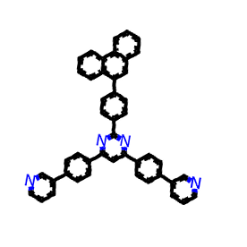 c1cncc(-c2ccc(-c3cc(-c4ccc(-c5cccnc5)cc4)nc(-c4ccc(-c5cc6ccccc6c6ccccc56)cc4)n3)cc2)c1